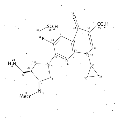 CON=C1CN(c2nc3c(cc2F)c(=O)c(C(=O)O)cn3C2CC2)C[C@@H]1CN.CS(=O)(=O)O